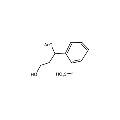 CC(=O)OC(CCO)c1ccccc1.CS(=O)(=O)O